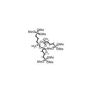 CO[Si](CCC[Si]1(C)O[Si](C)(CCC[Si](OC)(OC)OC)O[Si](C)(CCC[Si](OC)(OC)OC)O1)(OC)OC